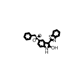 O=S(=O)(Cc1ccccc1)c1ccc2[nH]c(O)c(-c3nc4ccccc4s3)c2c1